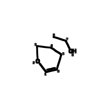 C1=COCCC1.CCO